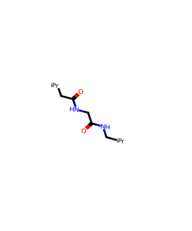 CC(C)CNC(=O)CNC(=O)CC(C)C